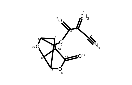 C=C(C#N)C(=O)OC1C2CC3C(=O)OC1C3O2